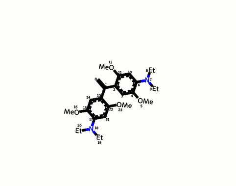 C=C(c1cc(OC)c(N(CC)CC)cc1OC)c1cc(OC)c(N(CC)CC)cc1OC